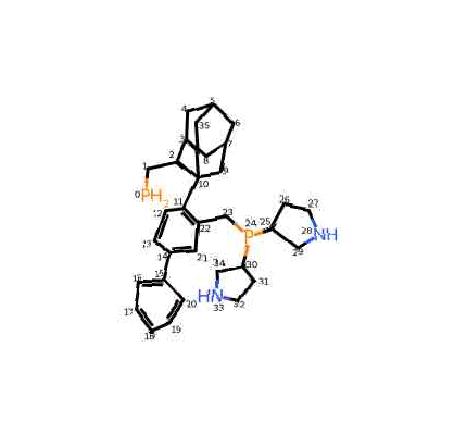 PCC1C2CC3CC(C2)CC1(c1ccc(-c2ccccc2)cc1CP(C1CCNC1)C1CCNC1)C3